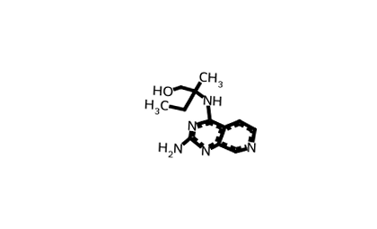 CCC(C)(CO)Nc1nc(N)nc2cnccc12